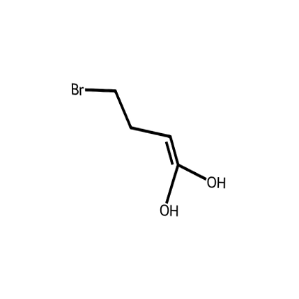 OC(O)=CCCBr